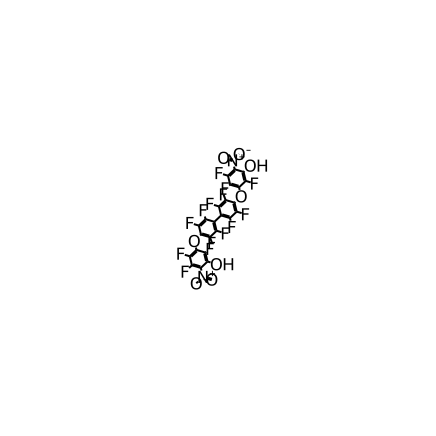 O=[N+]([O-])c1c(O)c(F)c(Oc2c(F)c(F)c(-c3c(F)c(F)c(Oc4c(F)c(O)c([N+](=O)[O-])c(F)c4F)c(F)c3F)c(F)c2F)c(F)c1F